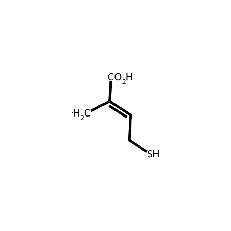 [CH2]C(=CCS)C(=O)O